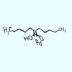 CCCCCNCCCCC.O=NO.[Pd]